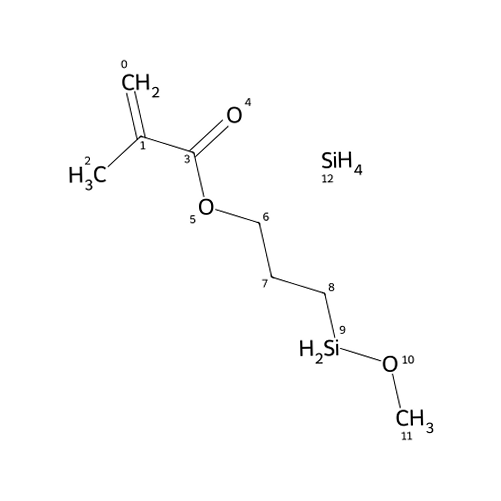 C=C(C)C(=O)OCCC[SiH2]OC.[SiH4]